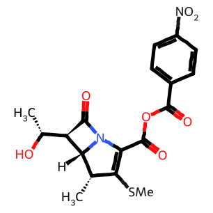 CSC1=C(C(=O)OC(=O)c2ccc([N+](=O)[O-])cc2)N2C(=O)[C@H]([C@@H](C)O)[C@H]2[C@H]1C